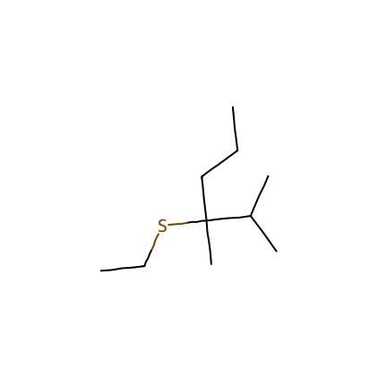 CCCC(C)(SCC)C(C)C